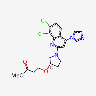 COC(=O)CCO[C@@H]1CCN(c2cc(-n3ccnc3)c3ccc(Cl)c(Cl)c3n2)C1